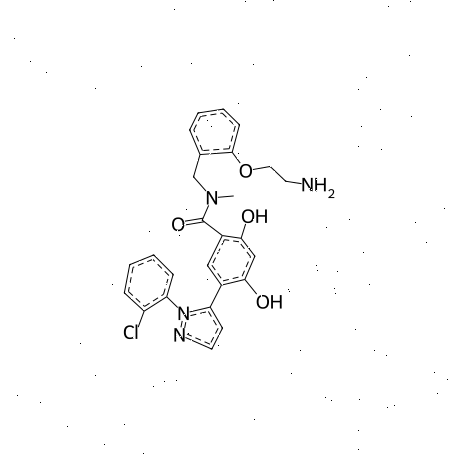 CN(Cc1ccccc1OCCN)C(=O)c1cc(-c2ccnn2-c2ccccc2Cl)c(O)cc1O